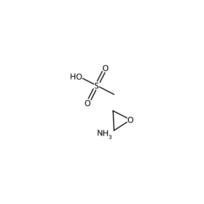 C1CO1.CS(=O)(=O)O.N